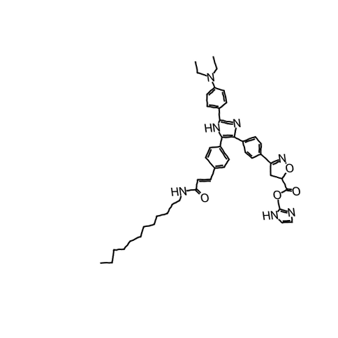 CCCCCCCCCCCCNC(=O)C=Cc1ccc(-c2[nH]c(-c3ccc(N(CC)CC)cc3)nc2-c2ccc(C3=NOC(C(=O)Oc4ncc[nH]4)C3)cc2)cc1